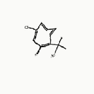 CC(C)(C#N)C1=C(F)/C=C(Cl)\C=C\C=C\1